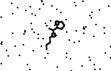 CCCCOC(C)C1CCCO1